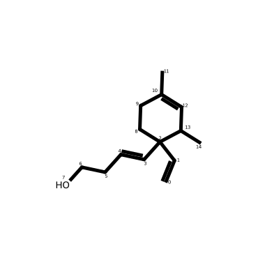 C=CC1(C=CCCO)CCC(C)=CC1C